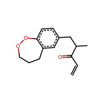 C=CC(=O)C(C)Cc1ccc2c(c1)CCCOO2